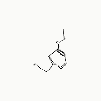 CCOc1cccc(CBr)c1